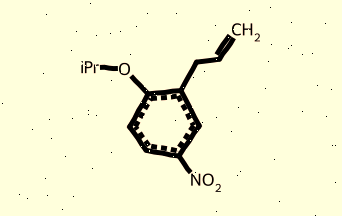 C=CCc1cc([N+](=O)[O-])ccc1OC(C)C